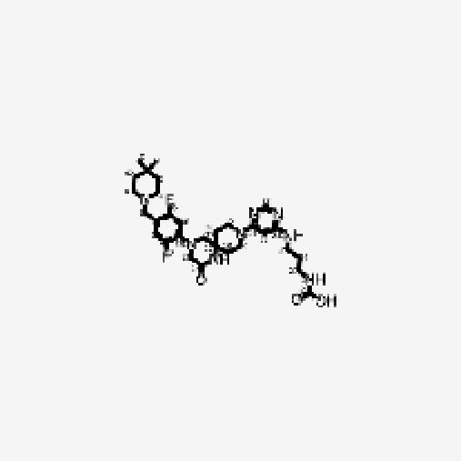 CC1(C)CCN(Cc2cc(F)c(N3CC(=O)NC4(CCN(c5cc(NCCCNC(=O)O)ncn5)CC4)C3)cc2F)CC1